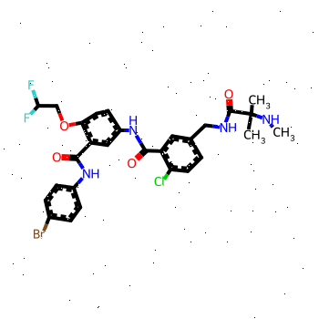 CNC(C)(C)C(=O)NCc1ccc(Cl)c(C(=O)Nc2ccc(OCC(F)F)c(C(=O)Nc3ccc(Br)cc3)c2)c1